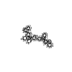 c1ccc(-c2cccc3c4cc(-c5ccc6c(c5)c5ccccc5n6-c5ccc6c(c5)oc5ccccc56)ccc4n(-c4ccc(-c5cccc6ccccc56)cc4)c23)cc1